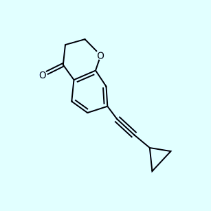 O=C1CCOc2cc(C#CC3CC3)ccc21